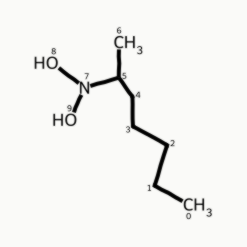 CCCCCC(C)N(O)O